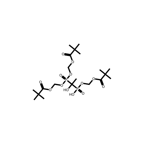 CC(C)(C)C(=O)OCOP(=O)(O)C(C)(O)P(=O)(OCOC(=O)C(C)(C)C)OCOC(=O)C(C)(C)C